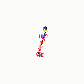 O=C(CCSSc1ccccn1)NCCOCCOCCOCCOCCC(=O)ON1C(=O)CCC1=O